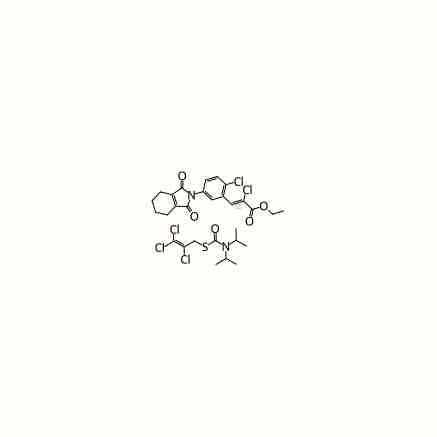 CC(C)N(C(=O)SCC(Cl)=C(Cl)Cl)C(C)C.CCOC(=O)/C(Cl)=C/c1cc(N2C(=O)C3=C(CCCC3)C2=O)ccc1Cl